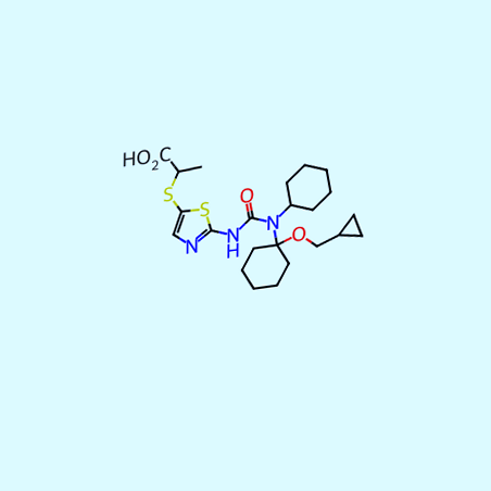 CC(Sc1cnc(NC(=O)N(C2CCCCC2)C2(OCC3CC3)CCCCC2)s1)C(=O)O